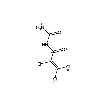 NC(=O)NC(=O)C(Cl)=C(Cl)Cl